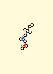 c1ccc2cc(-c3c4ccccc4c(-c4ccc(-n5c6ccccc6c6cc(-c7cccc8c7oc7ccccc78)ccc65)cc4)c4ccccc34)ccc2c1